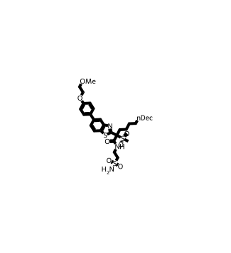 CCCCCCCCCCCCCCC(C(=O)NCCS(N)(=O)=O)(c1nc2cc(-c3ccc(OCCOC)cc3)ccc2s1)S(C)(=O)=O